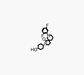 O=C1N([C@H]2CC[C@H](O)CC2)CCC12CCCN(c1cc(F)ccc1F)C2